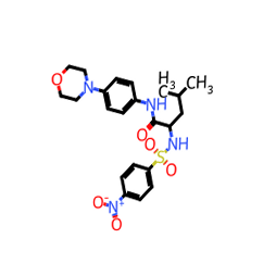 CC(C)CC(NS(=O)(=O)c1ccc([N+](=O)[O-])cc1)C(=O)Nc1ccc(N2CCOCC2)cc1